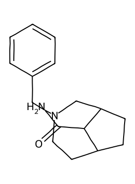 NC(=O)C1C2CCC1CN(Cc1ccccc1)CC2